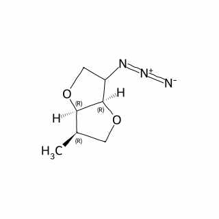 C[C@@H]1CO[C@@H]2C(N=[N+]=[N-])CO[C@H]12